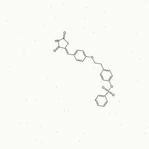 O=C1NC(=O)C(=Cc2ccc(OCCc3ccc(OS(=O)(=O)c4ccccc4)cc3)cc2)S1